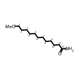 COCCCCCCCCCCCC(N)=O